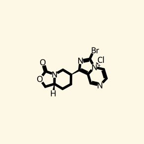 O=C1OC[C@H]2CC[C@H](C3=C4C=NC=C[N+]4(Cl)C(Br)=N3)CN12